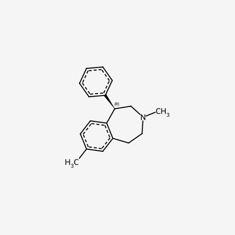 Cc1ccc2c(c1)CCN(C)C[C@@H]2c1ccccc1